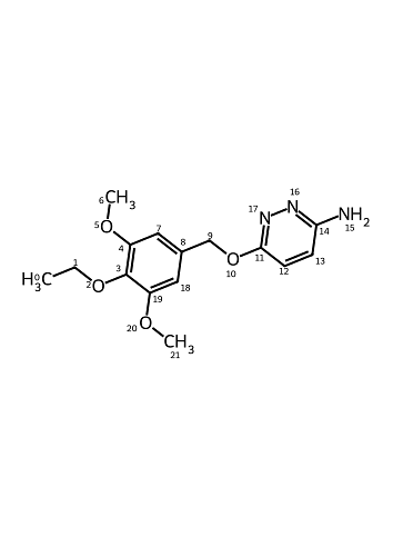 CCOc1c(OC)cc(COc2ccc(N)nn2)cc1OC